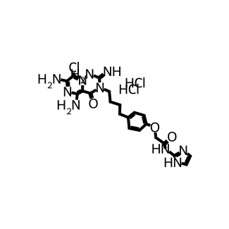 Cl.Cl.N=C(N)N(CCCCc1ccc(OCC(=O)Nc2ncc[nH]2)cc1)C(=O)c1nc(Cl)c(N)nc1N